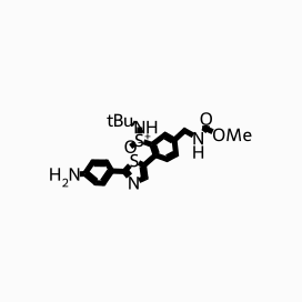 COC(=O)NCc1ccc(-c2cnc(-c3ccc(N)cc3)s2)c([S+]([O-])NC(C)(C)C)c1